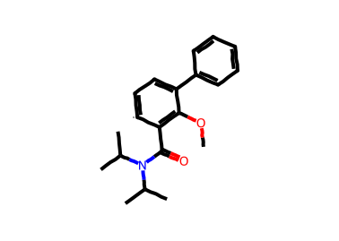 COc1c(C(=O)N(C(C)C)C(C)C)[c]ccc1-c1ccccc1